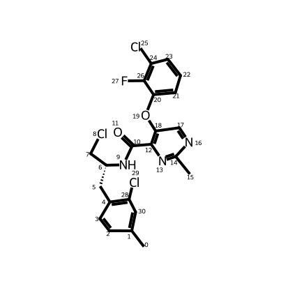 Cc1ccc(C[C@H](CCl)NC(=O)c2nc(C)ncc2Oc2cccc(Cl)c2F)c(Cl)c1